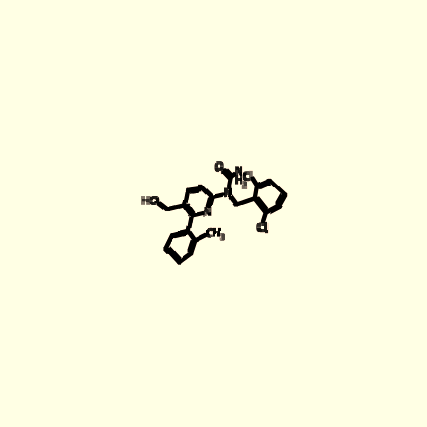 Cc1ccccc1-c1nc(N(Cc2c(Cl)cccc2Cl)C(N)=O)ccc1CO